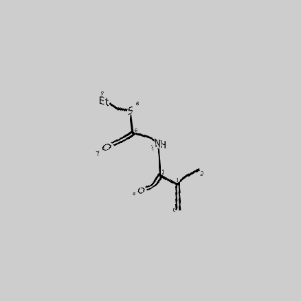 C=C(C)C(=O)NC(=O)SCC